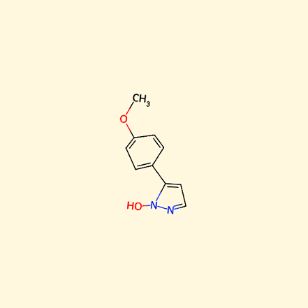 COc1ccc(-c2ccnn2O)cc1